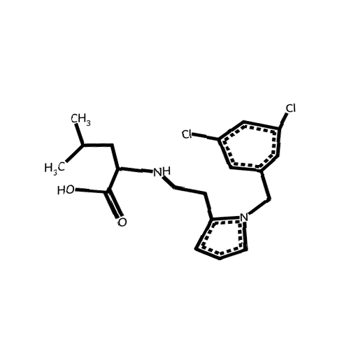 CC(C)CC(NCCc1cccn1Cc1cc(Cl)cc(Cl)c1)C(=O)O